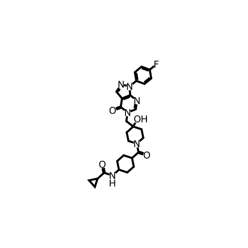 O=C(NC1CCC(C(=O)N2CCC(O)(Cn3cnc4c(cnn4-c4ccc(F)cc4)c3=O)CC2)CC1)C1CC1